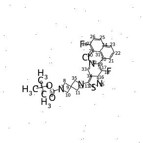 CC(C)(C)OC(=O)N1CC2(C1)CN(c1snc3c(F)c(-c4cccc5ccc(F)c(Cl)c45)ncc13)C2